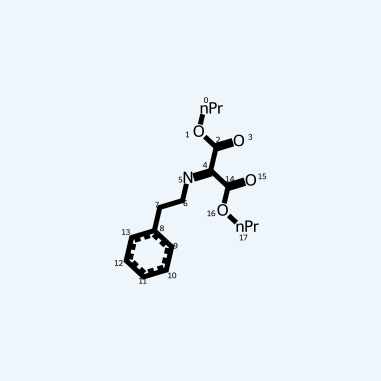 CCCOC(=O)C(=NCCc1ccccc1)C(=O)OCCC